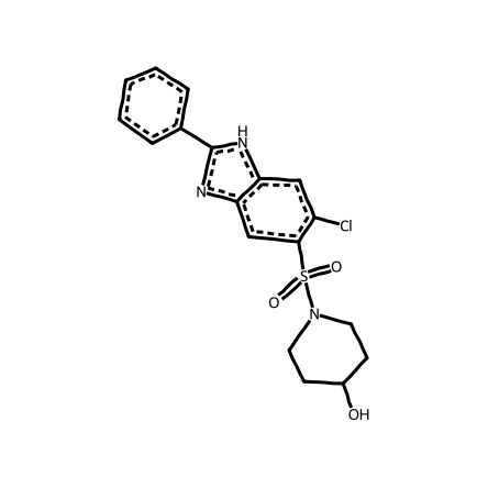 O=S(=O)(c1cc2nc(-c3ccccc3)[nH]c2cc1Cl)N1CCC(O)CC1